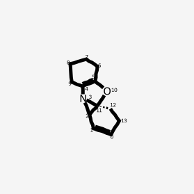 C1=CC2N3C4=C(CCCC4)O[C@@]23CC1